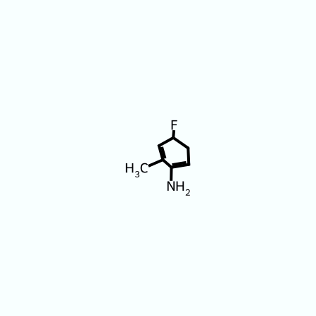 CC1=CC(F)CC=C1N